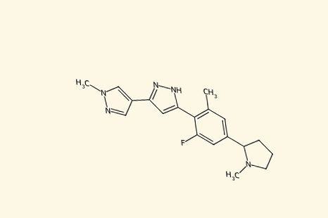 Cc1cc(C2CCCN2C)cc(F)c1-c1cc(-c2cnn(C)c2)n[nH]1